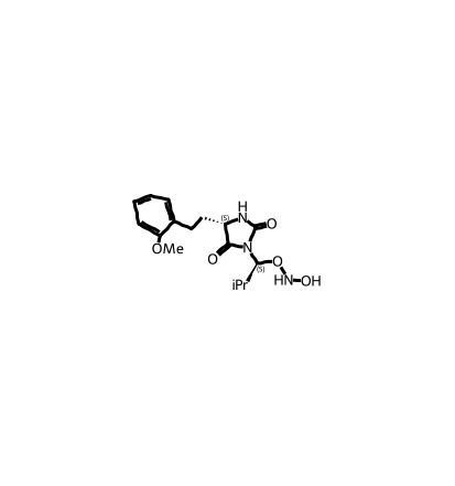 COc1ccccc1CC[C@@H]1NC(=O)N([C@@H](ONO)C(C)C)C1=O